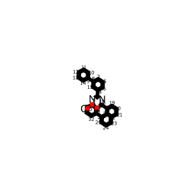 Clc1nc(-c2cccc(-c3ccccc3)c2)nc(-c2cccc3cccc(-c4ccccc4)c23)n1